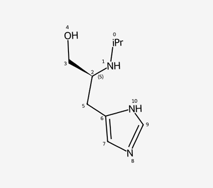 CC(C)N[C@H](CO)Cc1cnc[nH]1